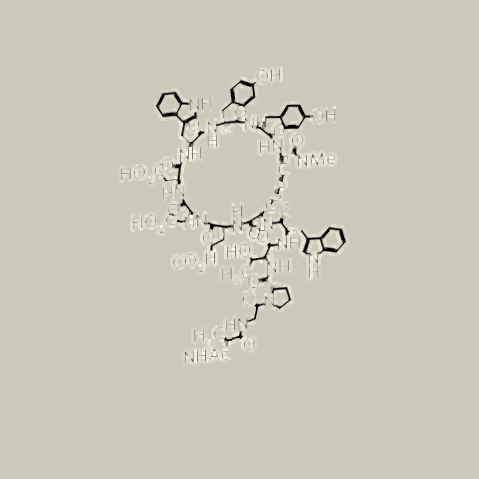 CNC(=O)[C@@H]1CSSC[C@H](NC(=O)[C@H](Cc2c[nH]c3ccccc23)NC(=O)[C@@H](NC(=O)[C@@H]2CCCN2C(=O)CNC(=O)[C@H](C)NC(C)=O)C(C)O)C(=O)N[C@@H](CCC(=O)O)C(=O)N[C@@H](CC(=O)O)C(=O)N[C@@H](CC(=O)O)C(=O)N[C@@H](Cc2c[nH]c3ccccc23)C(=O)N[C@@H](Cc2ccc(O)cc2)C(=O)N[C@@H](Cc2ccc(O)cc2)C(=O)N1